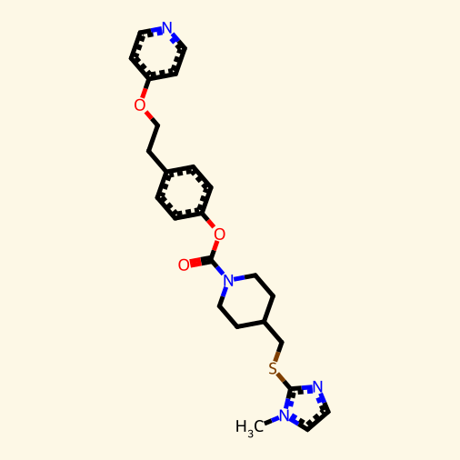 Cn1ccnc1SCC1CCN(C(=O)Oc2ccc(CCOc3ccncc3)cc2)CC1